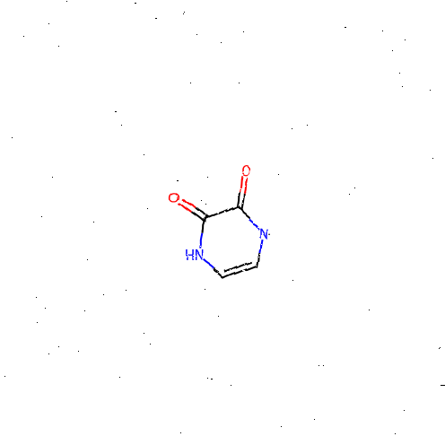 O=C1[N]C=CNC1=O